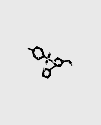 Cc1ccc(S(=O)(=O)n2cc(C=O)cc2-c2cccs2)cc1